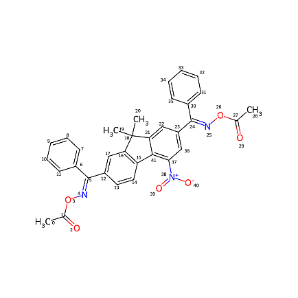 CC(=O)O/N=C(\c1ccccc1)c1ccc2c(c1)C(C)(C)c1cc(/C(=N/OC(C)=O)c3ccccc3)cc([N+](=O)[O-])c1-2